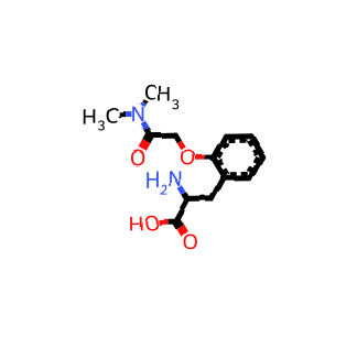 CN(C)C(=O)COc1ccccc1CC(N)C(=O)O